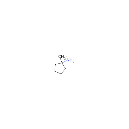 [CH2]C1(N)CCCC1